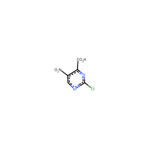 O=C(O)c1nc(Cl)ncc1[N+](=O)[O-]